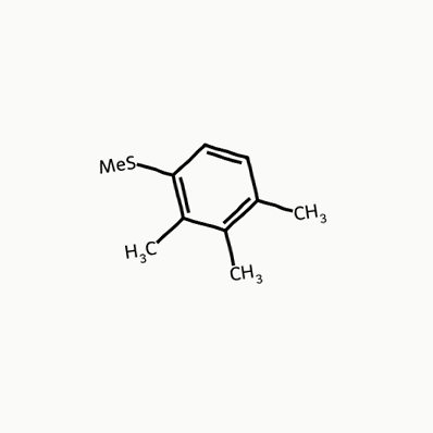 [CH2]Sc1ccc(C)c(C)c1C